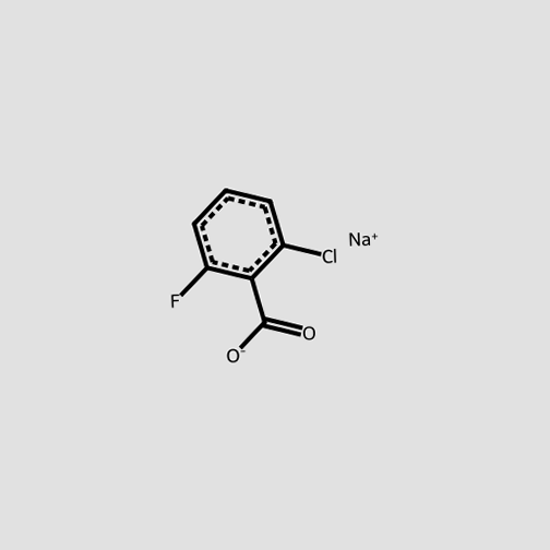 O=C([O-])c1c(F)cccc1Cl.[Na+]